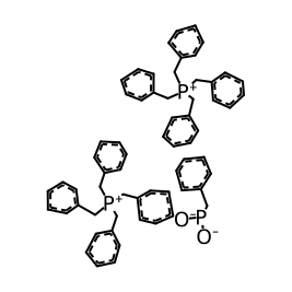 [O-]P([O-])Cc1ccccc1.c1ccc(C[P+](Cc2ccccc2)(Cc2ccccc2)Cc2ccccc2)cc1.c1ccc(C[P+](Cc2ccccc2)(Cc2ccccc2)Cc2ccccc2)cc1